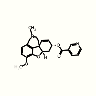 COc1ccc2c3c1O[C@H]1C[C@@H](OC(=O)c4cccnc4)C=C[C@@]31CCN(C)C2